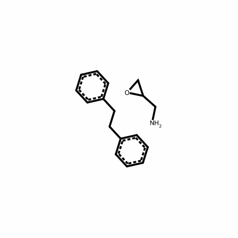 NCC1CO1.c1ccc(CCc2ccccc2)cc1